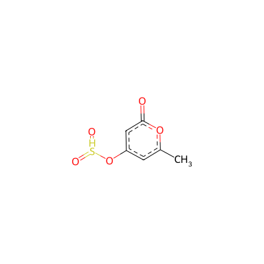 Cc1cc(O[SH](=O)=O)cc(=O)o1